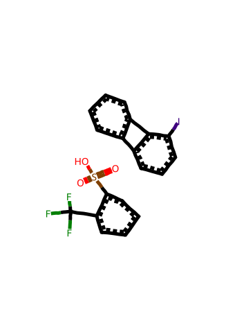 Ic1cccc2c1-c1ccccc1-2.O=S(=O)(O)c1ccccc1C(F)(F)F